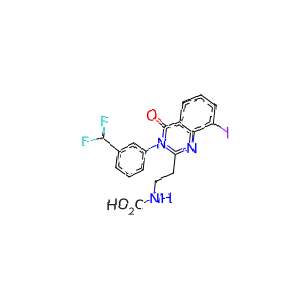 O=C(O)NCCc1nc2c(I)cccc2c(=O)n1-c1cccc(C(F)F)c1